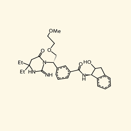 CCC1(CC)CC(=O)N([C@H](COCCOC)c2cccc(C(=O)N[C@@H]3c4ccccc4CC3O)c2)C(=N)N1